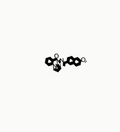 COc1ccc2cc(/C(C)=N/NC(=O)c3ccccc3-n3cccc3)ccc2c1